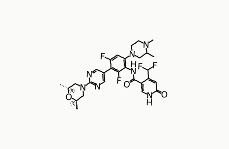 CC1CN(c2cc(F)c(-c3cnc(N4C[C@@H](C)O[C@H](C)C4)nc3)c(F)c2NC(=O)c2c[nH]c(=O)cc2C(F)F)CCN1C